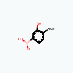 CNc1ccc(B(O)O)cc1O